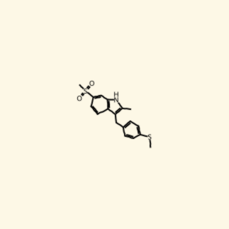 CSc1ccc(Cc2c(C)[nH]c3cc(S(C)(=O)=O)ccc23)cc1